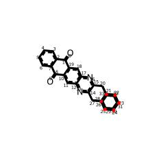 O=C1c2ccccc2C(=O)c2cc3nc4c(nc3cc21)C1c2ccccc2C4c2ccccc21